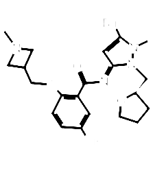 CN1CC(COc2ccc(C(F)(F)F)cc2C(=O)N=c2cc(C(C)(C)C)n(C)n2C[C@H]2CCCO2)C1